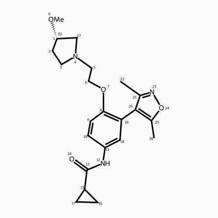 CO[C@H]1CCN(CCOc2ccc(NC(=O)C3CC3)cc2-c2c(C)noc2C)C1